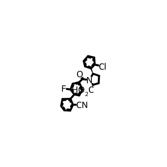 N#Cc1ccccc1-c1ccc(C(=O)N2[C@@H](c3ccccc3Cl)CC[C@H]2C(=O)O)cc1F